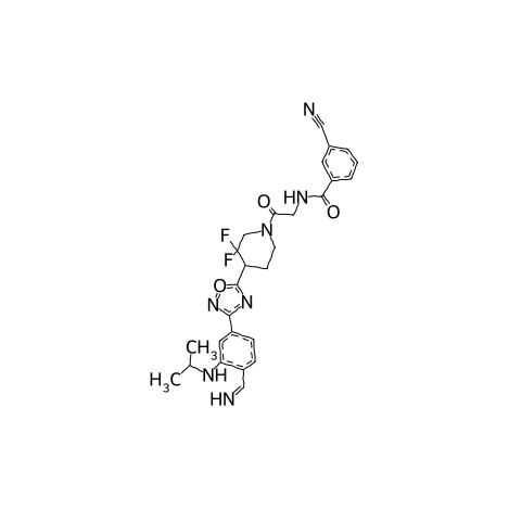 CC(C)Nc1cc(-c2noc(C3CCN(C(=O)CNC(=O)c4cccc(C#N)c4)CC3(F)F)n2)ccc1C=N